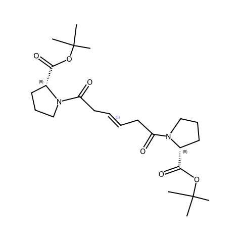 CC(C)(C)OC(=O)[C@H]1CCCN1C(=O)C/C=C/CC(=O)N1CCC[C@@H]1C(=O)OC(C)(C)C